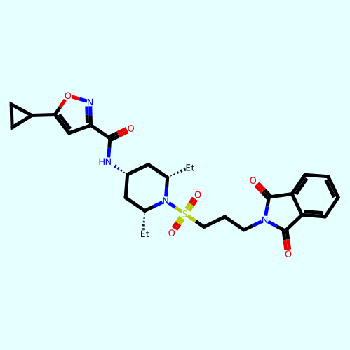 CC[C@@H]1C[C@H](NC(=O)c2cc(C3CC3)on2)C[C@H](CC)N1S(=O)(=O)CCCN1C(=O)c2ccccc2C1=O